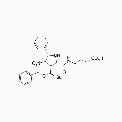 CC[C@H](C)C(OCc1ccccc1)C1C([N+](=O)[O-])[C@H](c2ccccc2)N[C@@H]1C(=O)NCCCC(=O)O